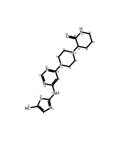 N#Cc1cnc(Nc2cc(N3CCN(C4CCCNC4=O)CC3)ncn2)s1